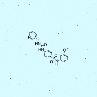 COc1cccc(NS(=O)(=O)c2ccc(NC(=O)NCc3cccnc3)cc2)c1